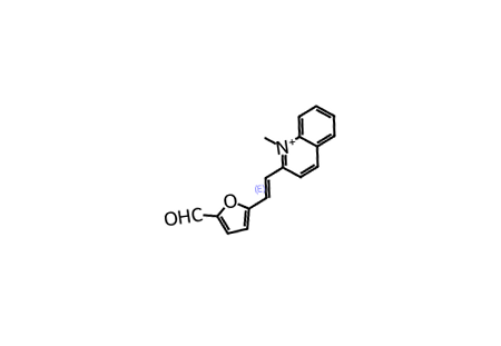 C[n+]1c(/C=C/c2ccc(C=O)o2)ccc2ccccc21